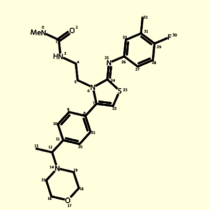 CNC(=O)NCCn1c(-c2ccc(C(C)N3CCOCC3)cc2)cs/c1=N\c1ccc(F)c(C)c1